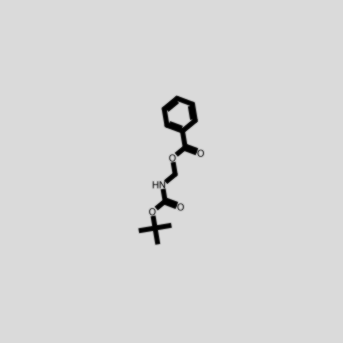 CC(C)(C)OC(=O)NCOC(=O)c1ccccc1